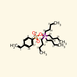 C=Cc1ccc(S(=O)(=O)OP(CCCC)(CCCC)(CCCC)CCCC)cc1